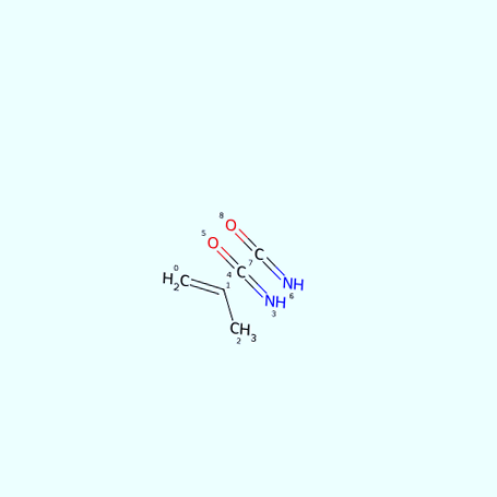 C=CC.N=C=O.N=C=O